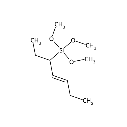 CCC=CC(CC)[Si](OC)(OC)OC